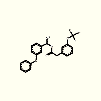 CC(C)C(F)(F)Oc1cccc(CC(=O)OC(C#N)c2cccc(Oc3ccccc3)c2)c1